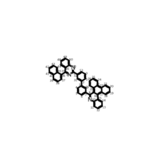 c1cc(-c2cccc(-c3nc4ccccc4c4c5ccccc5c5ccccc5c34)c2)cc(-c2nc(-c3cccc4ccccc34)c3ccccc3n2)c1